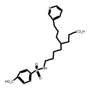 O=C(O)CCC(CCCCNS(=O)(=O)c1ccc(C(=O)O)cc1)CCCc1cccnc1